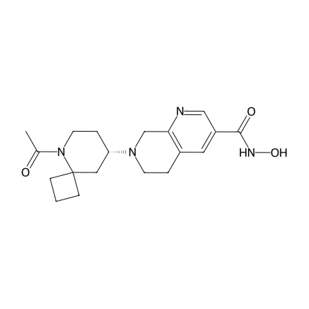 CC(=O)N1CC[C@H](N2CCc3cc(C(=O)NO)cnc3C2)CC12CCC2